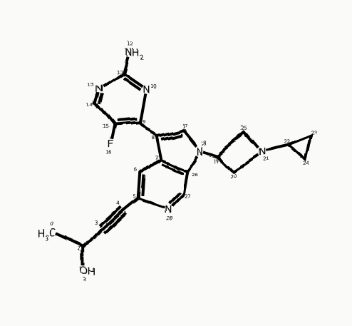 CC(O)C#Cc1cc2c(-c3nc(N)ncc3F)cn(C3CN(C4CC4)C3)c2cn1